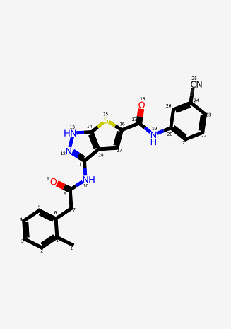 Cc1ccccc1CC(=O)Nc1n[nH]c2sc(C(=O)Nc3cccc(C#N)c3)cc12